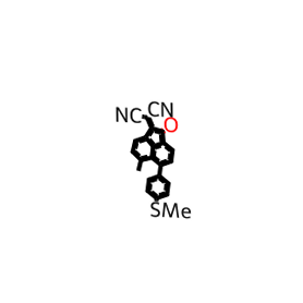 CSc1ccc(-c2ccc3c(=O)c(=C(C#N)C#N)c4ccc(C)c2c34)cc1